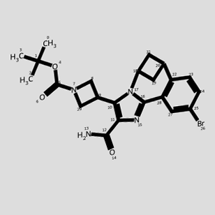 CC(C)(C)OC(=O)N1CC(c2c(C(N)=O)nc3n2C2CC(C2)c2ccc(Br)cc2-3)C1